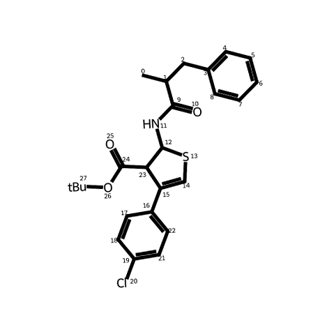 CC(Cc1ccccc1)C(=O)NC1SC=C(c2ccc(Cl)cc2)C1C(=O)OC(C)(C)C